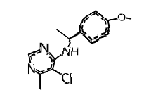 COc1ccc(C(C)Nc2ncnc(C)c2Cl)cc1